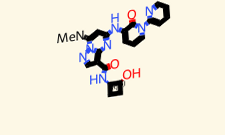 CNc1cc(Nc2cccn(-c3ccccn3)c2=O)nc2c(C(=O)N[C@@H]3CC[C@@H]3O)cnn12